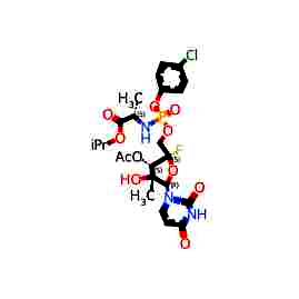 CC(=O)O[C@H]1[C@@](C)(O)[C@H](n2ccc(=O)[nH]c2=O)O[C@]1(F)COP(=O)(N[C@@H](C)C(=O)OC(C)C)Oc1ccc(Cl)cc1